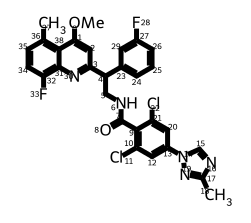 COc1cc(C(CNC(=O)c2c(Cl)cc(-n3cnc(C)n3)cc2Cl)c2cccc(F)c2)nc2c(F)ccc(C)c12